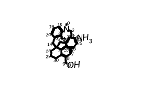 CN1CCN(c2ccc(CO)c3c2C(Cc2ccccc2)(Cc2ccccc2)CCC3)CC1.N